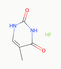 Cc1c[nH]c(=O)[nH]c1=O.F